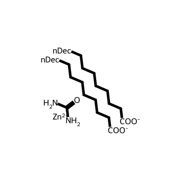 CCCCCCCCCCCCCCCCCC(=O)[O-].CCCCCCCCCCCCCCCCCC(=O)[O-].NC(N)=O.[Zn+2]